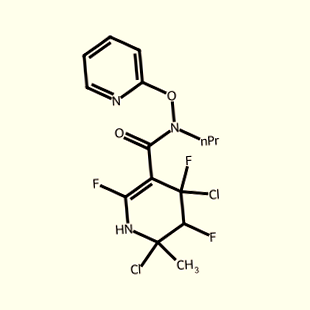 CCCN(Oc1ccccn1)C(=O)C1=C(F)NC(C)(Cl)C(F)C1(F)Cl